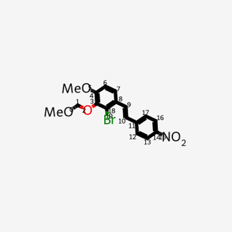 COCOc1c(OC)ccc(C=Cc2ccc([N+](=O)[O-])cc2)c1Br